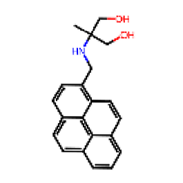 CC(CO)(CO)NCc1ccc2ccc3cccc4ccc1c2c34